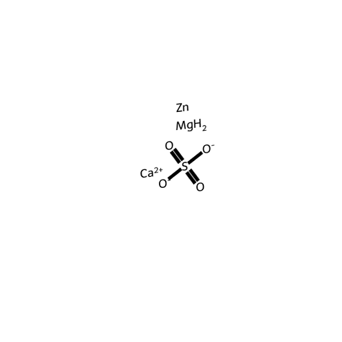 O=S(=O)([O-])[O-].[Ca+2].[MgH2].[Zn]